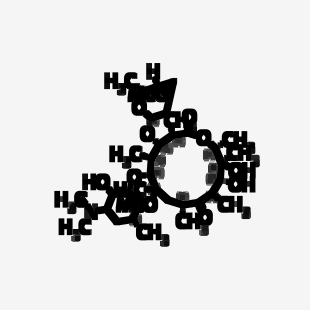 COC12C[C@H](O[C@H]3[C@H](C)[C@@H](O[C@@H]4O[C@H](C)CC(N(C)C)C4O)[C@](C)(OC)C[C@@H](C)C(=O)[C@H](C)[C@@H](O)[C@](C)(O)[C@@H](C)OC(=O)[C@@H]3C)O[C@H](C)[C@@H]1C2